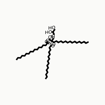 CCCCCCCCCCCCCCCC(=O)N(C(=O)CCCCCCCCCCCCCCC)C(CSCC(O)CO)(C(=O)O)C(=O)CCCCCCCCCCCCCCC